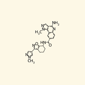 Cn1cc(-c2noc3c2CCCC3NC(=O)c2ccc3nc(N)c4cnn(C)c4c3c2)cn1